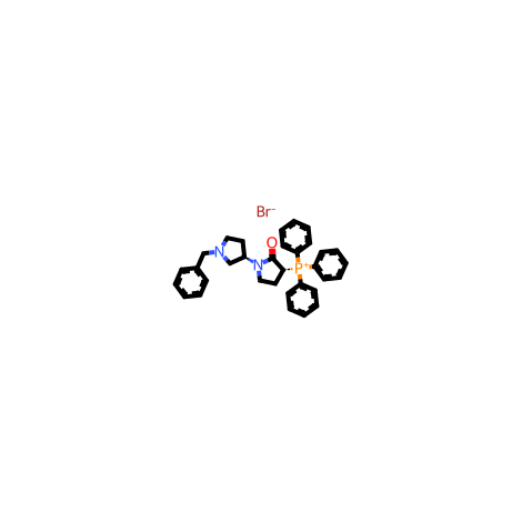 O=C1[C@H]([P+](c2ccccc2)(c2ccccc2)c2ccccc2)CCN1[C@@H]1CCN(Cc2ccccc2)C1.[Br-]